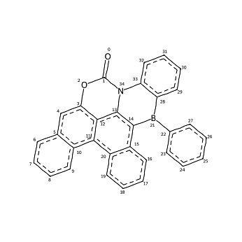 O=C1Oc2cc3ccccc3c3c2c2c(c4ccccc43)B(c3ccccc3)c3ccccc3N12